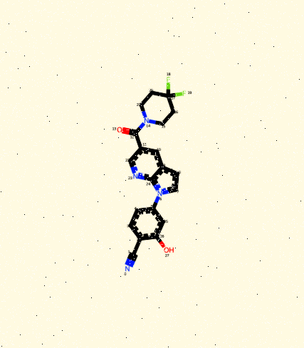 N#Cc1ccc(-n2ccc3cc(C(=O)N4CCC(F)(F)CC4)cnc32)cc1O